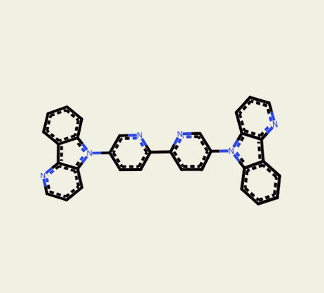 c1ccc2c(c1)c1ncccc1n2-c1ccc(-c2ccc(-n3c4ccccc4c4ncccc43)cn2)nc1